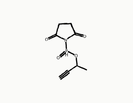 C#CC(C)O[PH](=O)N1C(=O)CCC1=O